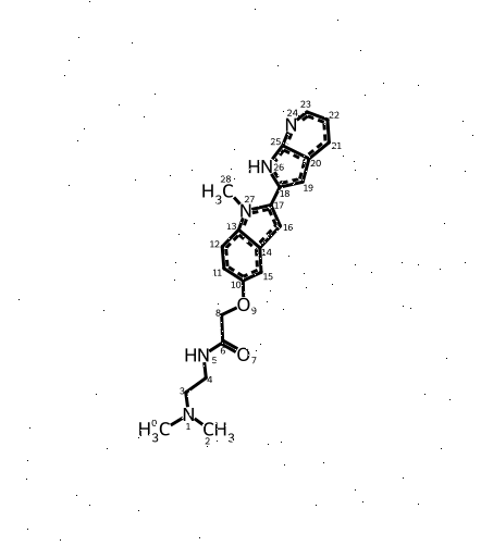 CN(C)CCNC(=O)COc1ccc2c(c1)cc(-c1cc3cccnc3[nH]1)n2C